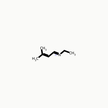 CC/N=C/C=C(C)C